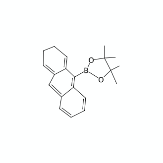 CC1(C)OB(c2c3c(cc4ccccc24)=CCCC=3)OC1(C)C